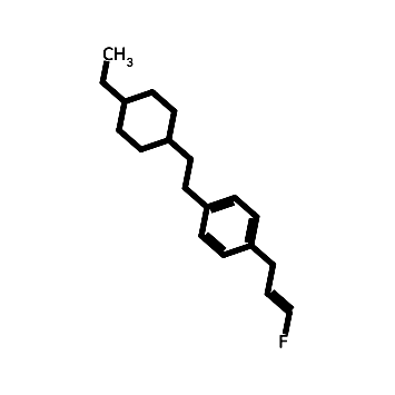 CCC1CCC(CCc2ccc(CC=CF)cc2)CC1